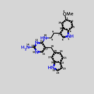 COc1ccc2[nH]cc(CCNc3nc(N)ncc3Cc3ccc4cc[nH]c4c3)c2c1